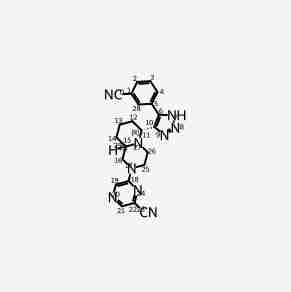 N#Cc1cccc(-c2[nH]nnc2[C@H]2CCC[C@H]3CN(c4cncc(C#N)n4)CCN32)c1